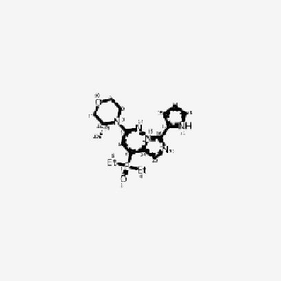 CCP(=O)(CC)c1cc(N2CCOC[C@H]2C)nn2c(-c3ccc[nH]3)ncc12